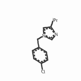 CC(C)c1cn(Cc2ccc(Cl)cc2)cn1